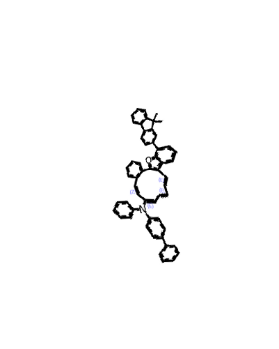 CC1(C)c2ccccc2-c2ccc(-c3cccc4c5c(oc34)-c3ccccc3\C=C/C(N(c3ccccc3)c3ccc(-c4ccccc4)cc3)=C\C=C\C=C\5)cc21